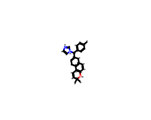 Cc1ccc(C(C2=CCc3c(ccc4c3C=CC(C)(C)O4)C2)n2ccnc2)cc1